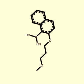 COCCCOc1ccc2ccccc2c1B(O)O